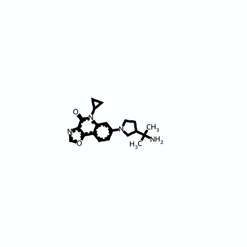 CC(C)(N)C1CCN(c2ccc3c4ocnc4c(=O)n(C4CC4)c3c2)C1